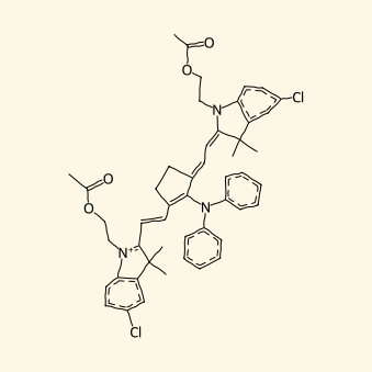 CC(=O)OCCN1/C(=C/C=C2\CCC(/C=C/C3=[N+](CCOC(C)=O)c4ccc(Cl)cc4C3(C)C)=C2N(c2ccccc2)c2ccccc2)C(C)(C)c2cc(Cl)ccc21